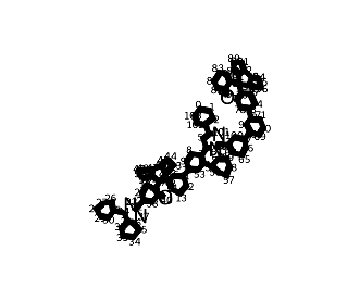 c1ccc(-c2cc(-c3ccc(-c4ccc5c(c4)C4(c6ccc(-c7nc(-c8ccccc8)c8ccccc8n7)cc6O5)c5ccccc5-c5ccccc54)cc3-c3ccccc3)nc(-c3cccc(-c4cccc(-c5ccc6c(c5)Oc5ccccc5C65c6ccccc6-c6ccccc65)c4)c3)n2)cc1